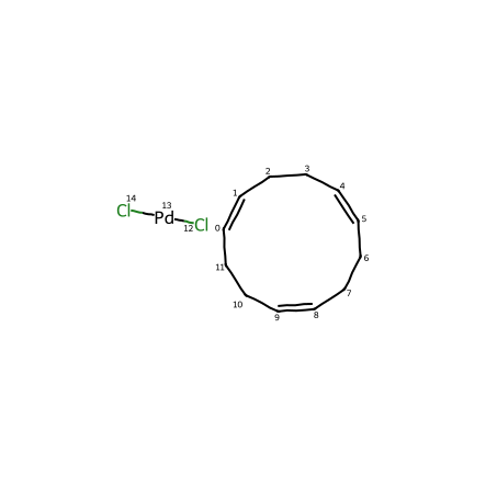 C1=CCCC=CCCC=CCC1.[Cl][Pd][Cl]